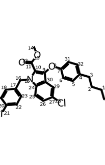 CCCCc1ccc(Oc2c(C(=O)OC)n(Cc3ccc(Cl)cc3)c3ccc(Cl)cc23)cc1